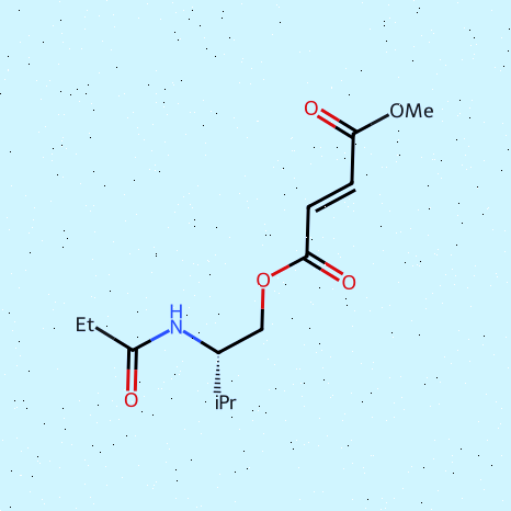 CCC(=O)N[C@H](COC(=O)/C=C/C(=O)OC)C(C)C